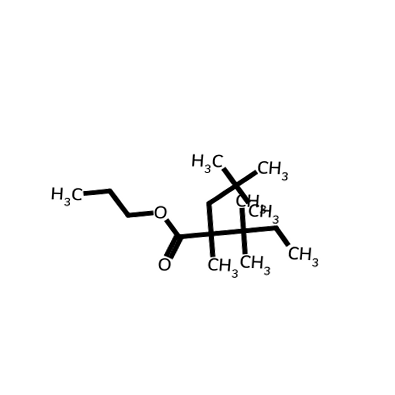 CCCOC(=O)C(C)(CC(C)(C)C)C(C)(C)CC